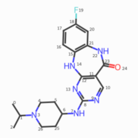 CC(C)N1CCC(Nc2ncc3c(n2)Nc2ccc(F)cc2NC3=O)CC1